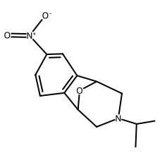 CC(C)N1CC2OC(C1)c1cc([N+](=O)[O-])ccc12